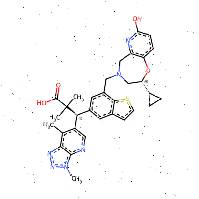 Cc1c([C@H](c2cc(CN3Cc4nc(O)ccc4O[C@H](C4CC4)C3)c3sccc3c2)C(C)(C)C(=O)O)cnc2c1nnn2C